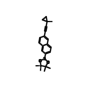 CC1(C#Cc2ccc3cc(B4OC(C)(C)C(C)(C)O4)ccc3c2)CC1